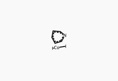 [I][Co][I].c1ccncc1